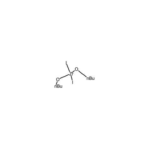 CCCC[O][Zr]([I])([I])[O]CCCC